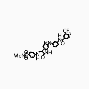 CNS(=O)(=O)c1ccc(NC=C2C(=O)Nc3cc(Nc4cccc(NC(=O)c5cccc(C(F)(F)F)c5)c4)ccc32)cc1